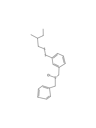 CCC(C)CSSc1cccc(C[S+]([O-])Cc2ccccc2)c1